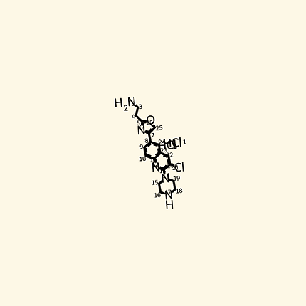 Cl.Cl.NCCc1nc(-c2ccc3nc(N4CCNCC4)c(Cl)cc3c2)co1